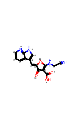 N#CCNC1=C(C(=O)O)C(=O)/C(=C/c2c[nH]c3ncccc23)O1